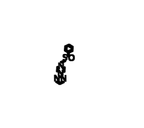 O=C(SCCN1CCN(c2ncccn2)CC1)c1ccccc1